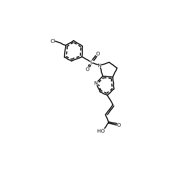 O=C(O)C=Cc1cnc2c(c1)CCN2S(=O)(=O)c1ccc(Cl)cc1